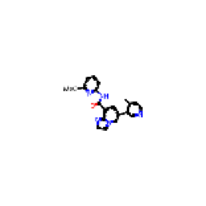 COc1cccc(NC(=O)c2cc(-c3cnccc3C)cn3ccnc23)n1